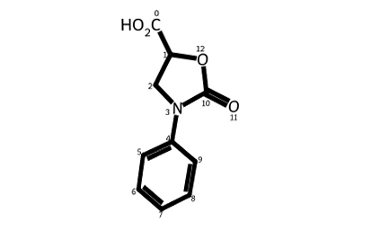 O=C(O)C1CN(c2ccccc2)C(=O)O1